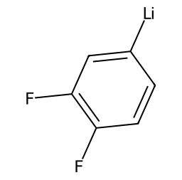 [Li][c]1ccc(F)c(F)c1